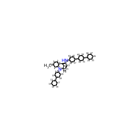 Cc1ccc2c(c1)N(c1ccc(-c3ccccc3)cc1)[C@@H]1C=CC(Nc3ccc(-c4ccc(-c5ccccc5)cc4)cc3)=C2C1